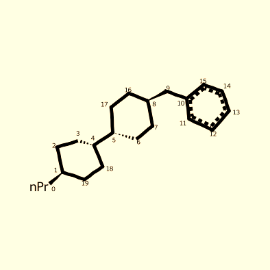 CCC[C@H]1CC[C@H]([C@H]2CC[C@H](Cc3ccccc3)CC2)CC1